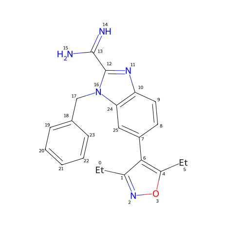 CCc1noc(CC)c1-c1ccc2nc(C(=N)N)n(Cc3ccccc3)c2c1